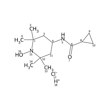 CC1(C)CC(NC(=O)C2CC2)CC(C)(C)N1O.[Cl-].[H+]